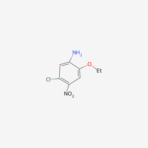 CCOc1cc([N+](=O)[O-])c(Cl)cc1N